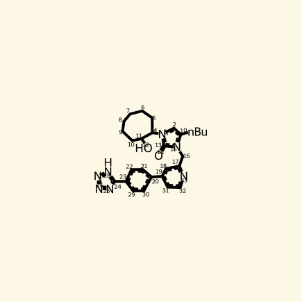 CCCCc1cn(C2CCCCCCC2O)c(=O)n1Cc1cc(-c2ccc(-c3nnn[nH]3)cc2)ccn1